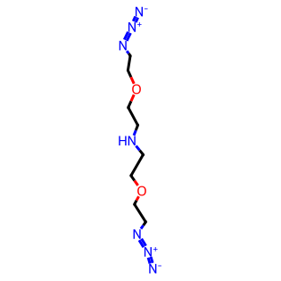 [N-]=[N+]=NCCOCCNCCOCCN=[N+]=[N-]